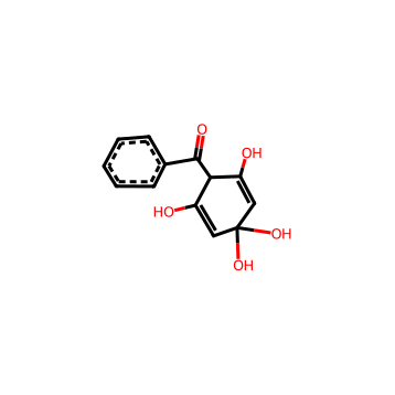 O=C(c1ccccc1)C1C(O)=CC(O)(O)C=C1O